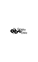 COC(=O)CC(C(=O)OC)C1CCC(=O)C2(C=Nc3ccccc32)C1